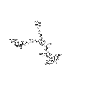 BNC(=O)NCCOCCOCCNC(=O)[C@H](CCCCn1cc(CCCC(=O)Nc2nnc(S(N)(=O)=O)s2)nn1)NC(=O)C[C@H](NC(=O)C[C@H](NC(O)CCC(C)(c1ccc(O)cc1)c1ccc(O)cc1)C(=O)O)C(=O)O